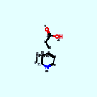 CCC(=O)O.CCCCCC.c1ccncc1